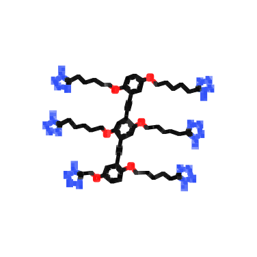 C(#Cc1cc(OCCCCCc2nnn[nH]2)c(C#Cc2cc(OCc3nnn[nH]3)ccc2OCCCCCc2nnn[nH]2)cc1OCCCCCc1nnn[nH]1)c1cc(OCCCCCc2nnn[nH]2)ccc1OCCCCCc1nnn[nH]1